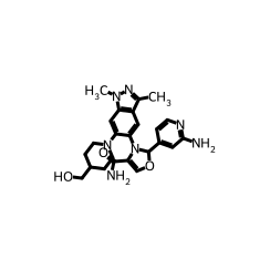 Cc1nn(C)c2cc(N3CCC(CO)CC3)c(N3C(C(N)=O)=COC3c3ccnc(N)c3)cc12